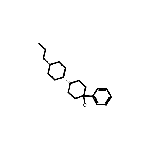 CCC[C@H]1CC[C@H](C2CCC(O)(c3ccccc3)CC2)CC1